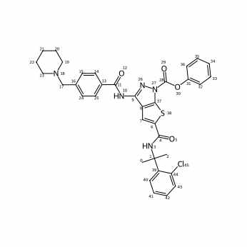 CC(C)(NC(=O)c1cc2c(NC(=O)c3ccc(CN4CCCCC4)cc3)nn(C(=O)Oc3ccccc3)c2s1)c1ccccc1Cl